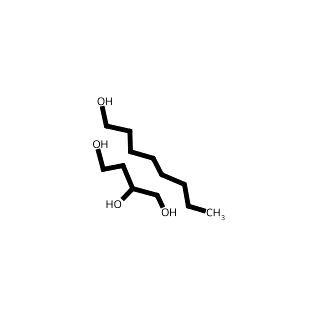 CCCCCCCCO.OCCC(O)CO